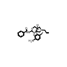 C=CCN1C[C@H]2CSC(NC(=O)c3ccccc3)N[C@@]2(c2cc(N)ccc2F)C1